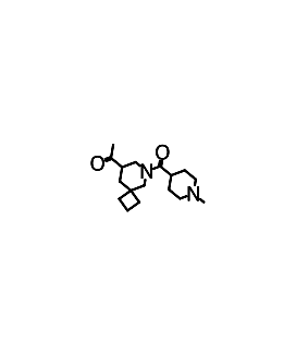 CC(=O)C1CN(C(=O)C2CCN(C)CC2)CC2(CCC2)C1